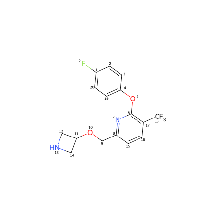 Fc1ccc(Oc2nc(COC3CNC3)ccc2C(F)(F)F)cc1